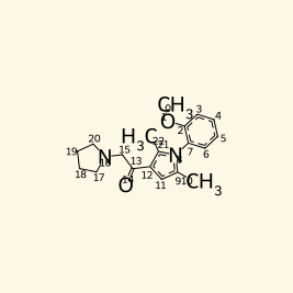 COc1ccccc1-n1c(C)cc(C(=O)CN2CCCC2)c1C